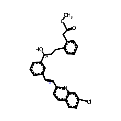 COC(=O)Cc1ccccc1CC[C@H](O)c1cccc(/C=C/c2ccc3ccc(Cl)cc3n2)c1